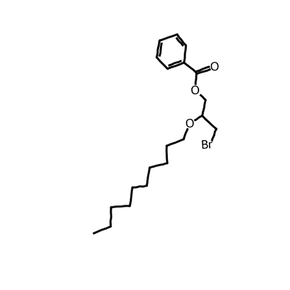 CCCCCCCCCCOC(CBr)COC(=O)c1ccccc1